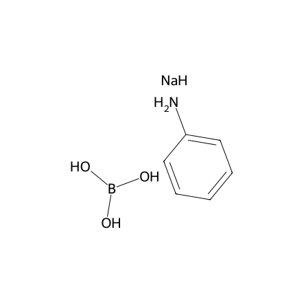 Nc1ccccc1.OB(O)O.[NaH]